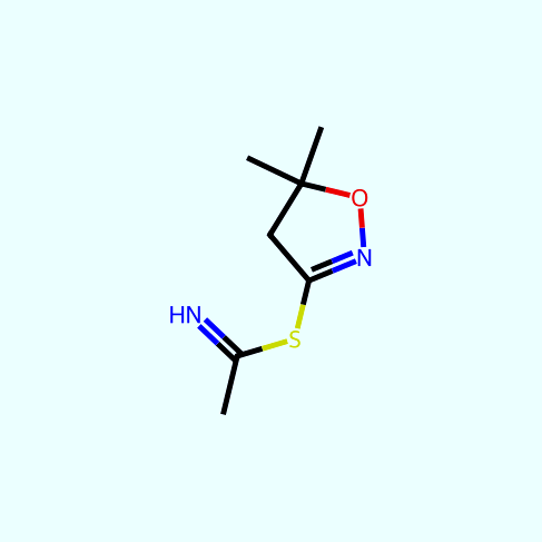 CC(=N)SC1=NOC(C)(C)C1